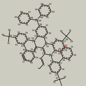 C=C1C2=C(/C=C/C)N(c3ccc(C(C)(C)C)cc3-c3ccccc3)c3ccc(C(C)(C)C)cc3B2c2ccc(N(c3ccccc3)c3ccccc3)cc2N1c1ccc(C(C)(C)C)cc1-c1c#cccc1